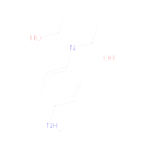 CC(O)N(c1ccc(N)cc1)C(C)O